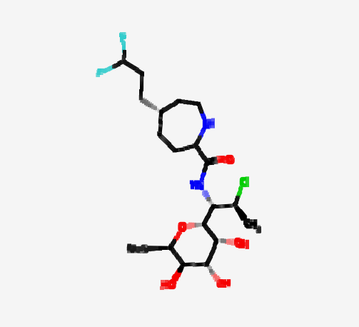 CS[C@H]1O[C@H]([C@H](NC(=O)C2CC[C@H](CCC(F)F)CCN2)[C@H](C)Cl)[C@H](O)[C@H](O)[C@H]1O